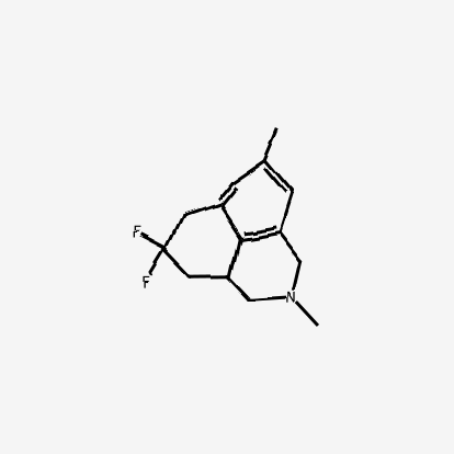 Cc1cc2c3c(c1)CC(F)(F)CC3CN(C)C2